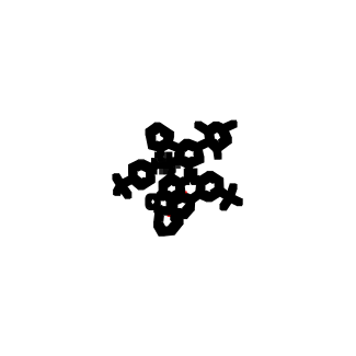 Cc1cc(C)c(-c2cc(-c3ccccc3Nc3ccc(C(C)(C)C)cc3)c3c(c2)N(c2ccc(C(C)(C)C)cc2-c2ccccc2)c2cc4c(cc2B3)oc2ccccc24)c(C)c1